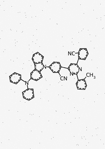 Cc1ccccc1-c1nc(-c2ccccc2C#N)cc(-c2ccc(-n3c4ccccc4c4cc(N(c5ccccc5)c5ccccc5)ccc43)cc2C#N)n1